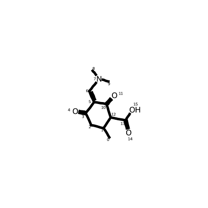 CC1CC(=O)C(=CN(C)C)C(=O)C1C(=O)O